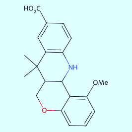 COc1cccc2c1C1Nc3ccc(C(=O)O)cc3C(C)(C)C1CO2